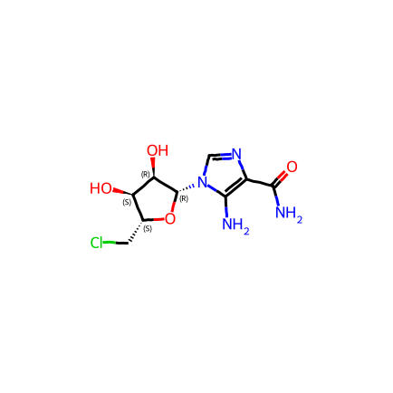 NC(=O)c1ncn([C@@H]2O[C@H](CCl)[C@@H](O)[C@H]2O)c1N